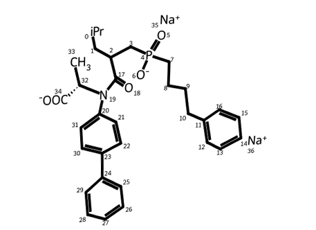 CC(C)CC(CP(=O)([O-])CCCCc1ccccc1)C(=O)N(c1ccc(-c2ccccc2)cc1)[C@@H](C)C(=O)[O-].[Na+].[Na+]